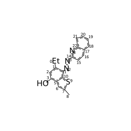 CCc1cc(O)c2cc(C)sc2c1/N=N/c1ccc2ccccc2n1